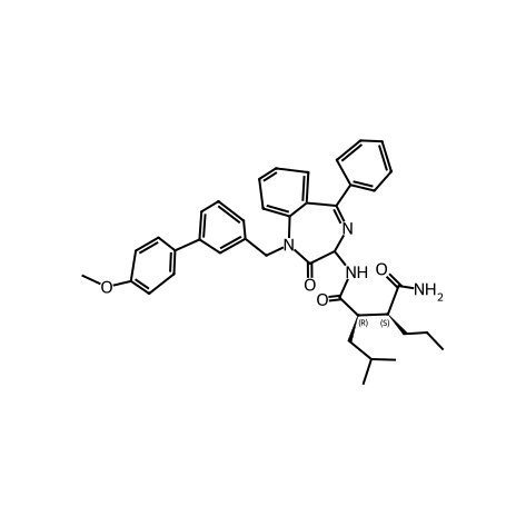 CCC[C@H](C(N)=O)[C@@H](CC(C)C)C(=O)NC1N=C(c2ccccc2)c2ccccc2N(Cc2cccc(-c3ccc(OC)cc3)c2)C1=O